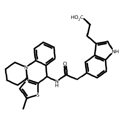 Cc1cnc(C(NC(=O)Cc2ccc3[nH]cc(CCC(=O)O)c3c2)c2ccccc2N2CCCCC2)s1